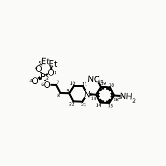 CCOP(=O)(OCC)OCCC1CCN(c2ccc(N)cc2C#N)CC1